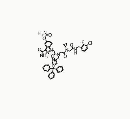 NC(=O)Oc1ccc2c(c1)c(C(N)=O)nn2CC(=O)N(CC(=O)N(CC(=O)NCc1cccc(Cl)c1F)C1CC1)Cc1cn(C(c2ccccc2)(c2ccccc2)c2ccccc2)cn1